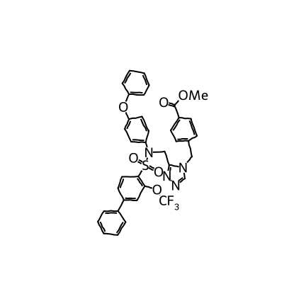 COC(=O)c1ccc(Cn2cnnc2CN(c2ccc(Oc3ccccc3)cc2)S(=O)(=O)c2ccc(-c3ccccc3)cc2OC(F)(F)F)cc1